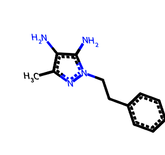 Cc1nn(CCc2ccccc2)c(N)c1N